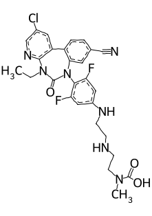 CCN1C(=O)N(c2c(F)cc(NCCNCCN(C)C(=O)O)cc2F)c2cc(C#N)ccc2-c2cc(Cl)cnc21